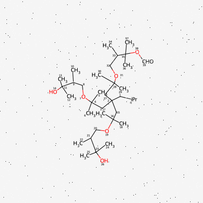 CC(C)CC(CC(C)(C)OCC(C)C(C)(C)O)(CC(C)(C)OCC(C)C(C)(C)O)CC(C)(C)OCC(C)C(C)(C)OC=O